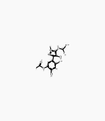 CC(=O)Oc1cc(-c2nn(C)c(OC(F)F)c2Cl)c(F)cc1Cl